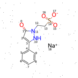 O=c1cc(-c2ccccc2)[nH]n1CCS(=O)(=O)[O-].[Na+]